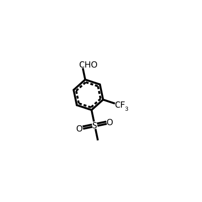 CS(=O)(=O)c1ccc(C=O)cc1C(F)(F)F